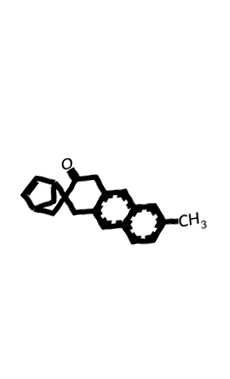 Cc1ccc2cc3c(cc2c1)CC(=O)C1(C3)CC2C=CC1C2